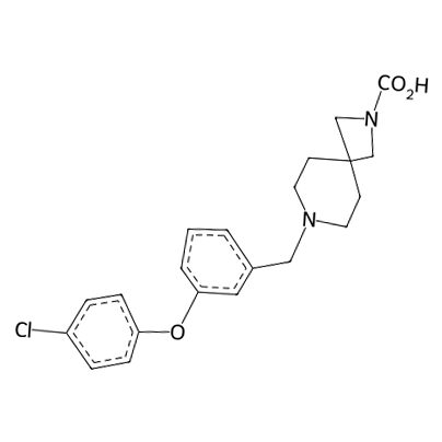 O=C(O)N1CC2(CCN(Cc3cccc(Oc4ccc(Cl)cc4)c3)CC2)C1